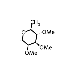 CO[C@@H]1[C@@H](OC)[C@@H](OC)[CH]O[C@H]1C